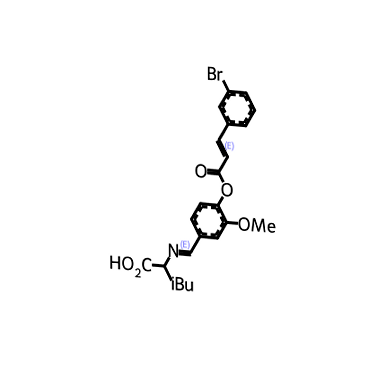 CCC(C)C(/N=C/c1ccc(OC(=O)/C=C/c2cccc(Br)c2)c(OC)c1)C(=O)O